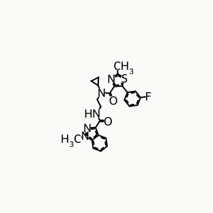 Cc1nc(C(=O)N(CCNC(=O)c2nn(C)c3ccccc23)C2CC2)c(-c2cccc(F)c2)s1